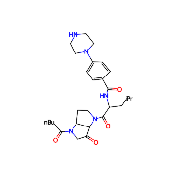 CCCCC(=O)N1CC(=O)C2C1CCN2C(=O)C(CC(C)C)NC(=O)c1ccc(N2CCNCC2)cc1